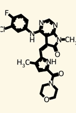 Cc1cc(C(=O)N2CCOCC2)[nH]c1C=C1C(=O)N(C)c2ncnc(Nc3ccc(F)c(Cl)c3)c21